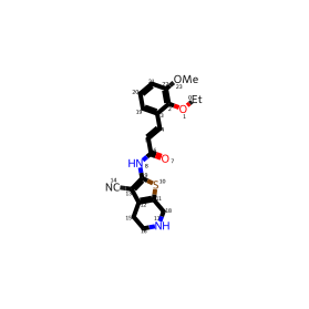 CCOc1c(C=CC(=O)Nc2sc3c(c2C#N)CCNC3)cccc1OC